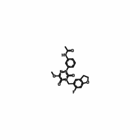 COc1nn(-c2cccc(NC(C)=O)c2)c(=O)n(Cc2cc3c(cc2F)OCC3)c1=O